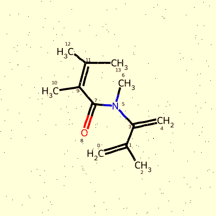 C=C(C)C(=C)N(C)C(=O)C(C)=C(C)C